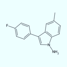 Cc1ccc2c(c1)c(-c1ccc(F)cc1)cn2N